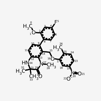 COc1cc(F)ccc1-c1ccc2c(c1COc1cc([N+](=O)[O-])ccc1C)N(C)C(=O)C(C)(C)N2